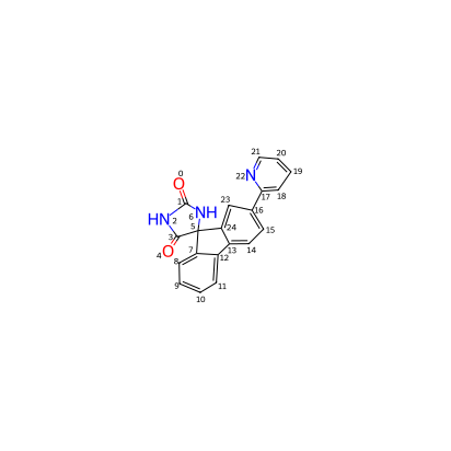 O=C1NC(=O)C2(N1)c1ccccc1-c1ccc(-c3ccccn3)cc12